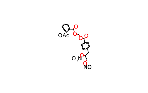 CC(=O)Oc1ccccc1C(=O)OCOC(=O)c1ccc(CC(CON=O)O[N+](=O)[O-])cc1